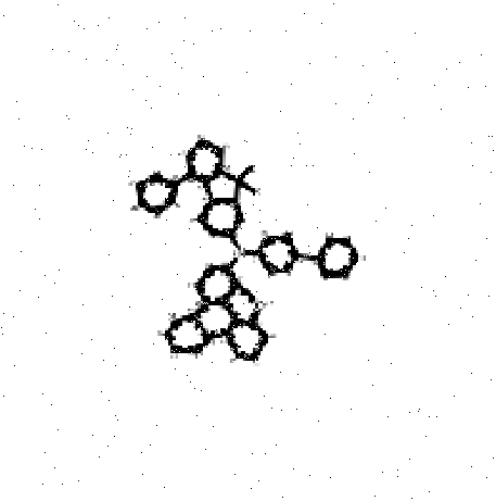 CC1(C)c2cc(N(c3ccc(-c4ccccc4)cc3)c3ccc4c5ccccc5c5cccc6oc3c4c65)ccc2-c2c(-c3ccccc3)cccc21